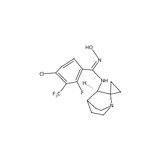 O/N=C(/N[C@@H]1C2CCN(CC2)C12CC2)c1ccc(Cl)c(C(F)(F)F)c1F